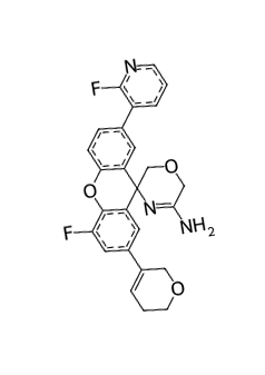 NC1=NC2(COC1)c1cc(-c3cccnc3F)ccc1Oc1c(F)cc(C3=CCCOC3)cc12